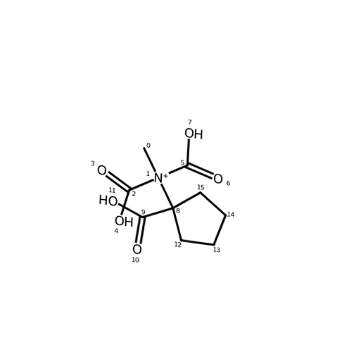 C[N+](C(=O)O)(C(=O)O)C1(C(=O)O)CCCC1